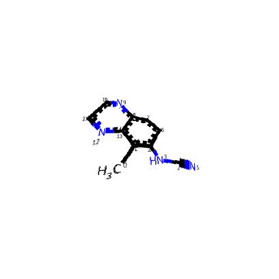 Cc1c(NC#N)ccc2nccnc12